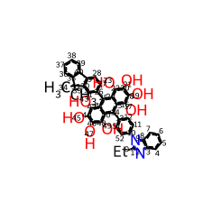 CCc1nc2ccccc2n1-c1ccc(-c2c3c(O)c(O)c(O)c(O)c3c(-c3ccc4c(c3)C(C)(C)c3ccccc3-4)c3c(O)c(O)c(O)c(O)c23)cc1